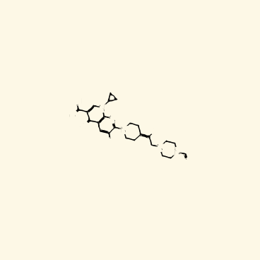 O=CN1CCN(CC(Cl)=C2CCN(c3nc4c(cc3F)c(=O)c(C(=O)O)cn4C3CC3)CC2)CC1